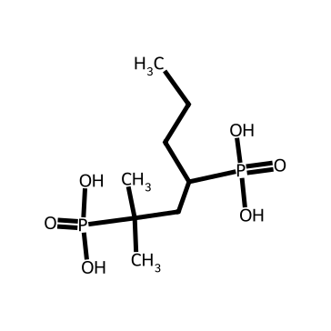 CCCC(CC(C)(C)P(=O)(O)O)P(=O)(O)O